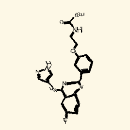 CC(C)(C)C(=O)NCCOc1cccc(-c2nc(Nc3cn[nH]c3)c3cc(F)ccc3n2)c1